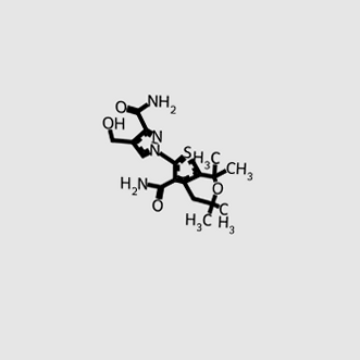 CC1(C)Cc2c(sc(-n3cc(CO)c(C(N)=O)n3)c2C(N)=O)C(C)(C)O1